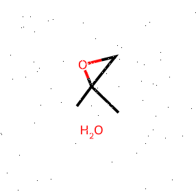 CC1(C)CO1.O